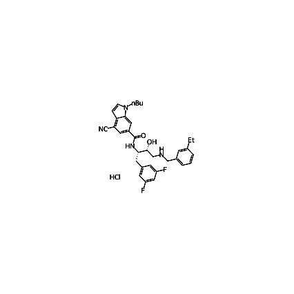 CCCCn1ccc2c(C#N)cc(C(=O)N[C@@H](Cc3cc(F)cc(F)c3)[C@H](O)CNCc3cccc(CC)c3)cc21.Cl